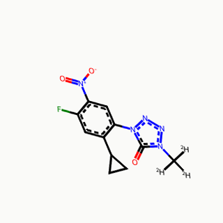 [2H]C([2H])([2H])n1nnn(-c2cc([N+](=O)[O-])c(F)cc2C2CC2)c1=O